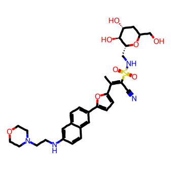 C/C(=C(/C#N)S(=O)(=O)NC[C@H]1OC(CO)C[C@@H](O)[C@@H]1O)c1ccc(-c2ccc3cc(NCCN4CCOCC4)ccc3c2)o1